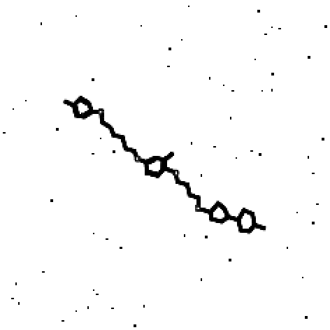 Cc1ccc(OCCCCCCOc2ccc(OCCCCOC3CCC(C4CCC(C)CC4)CC3)c(C)c2)cc1